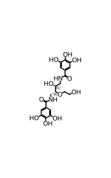 O=C(NC[C@H](O)[C@@H](CNC(=O)c1cc(O)c(O)c(O)c1)OCCO)c1cc(O)c(O)c(O)c1